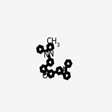 Cc1ccc2nc(-c3cccc(-c4cccc5oc6ccc(-c7ccc8c(c7)c7ccccc7n8-c7ccccc7)cc6c45)c3)nc(-c3ccccc3)c2c1